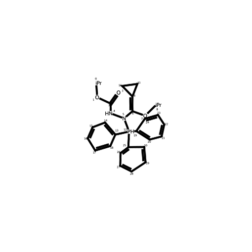 CC(C)OC(=O)NN(C(OC(C)C)=C1CC1)[PH](c1ccccc1)(c1ccccc1)c1ccccc1